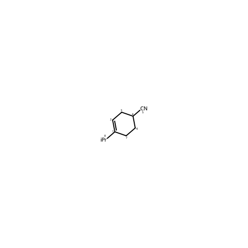 CC(C)C1=CCC(C#N)CC1